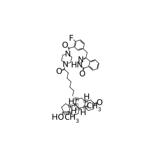 C[C@]12CCC(=O)C[C@@H]1C[C@@H](CCCCCCC(=O)N1CCN(C(=O)c3cc(Cc4n[nH]c(=O)c5ccccc45)ccc3F)CC1)[C@@H]1[C@@H]2CC[C@]2(C)[C@@H](O)CC[C@@H]12